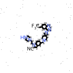 N#Cc1cc2cc(CN3CCC4(CC3)CN(c3ncnc5ccc(CC(F)(F)F)cc35)C4)ccc2n1CCN1CCNCC1